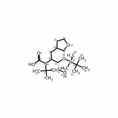 CC(C)(C)N(C(=O)O)C(CC1CCOC1)[C@@H](CO)O[Si](C)(C)C(C)(C)C